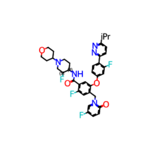 CC(C)c1ccc(-c2ccc(Oc3cc(C(=O)N[C@@H]4CCN(C5CCOCC5)C[C@@H]4F)c(F)cc3Cn3cc(F)ccc3=O)cc2F)nn1